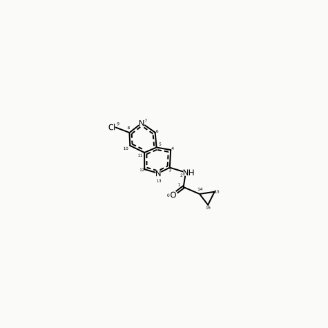 O=C(Nc1cc2cnc(Cl)cc2cn1)C1CC1